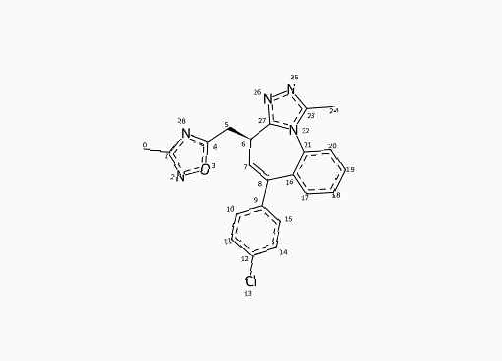 Cc1noc(C[C@@H]2C=C(c3ccc(Cl)cc3)c3ccccc3-n3c(C)nnc32)n1